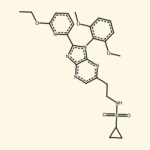 CCOc1cccc(-c2nc3ncc(CCNS(=O)(=O)C4CC4)nc3n2-c2c(OC)cccc2OC)n1